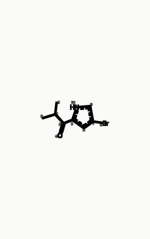 CC(C)C(=O)c1cc(Br)c[nH]1